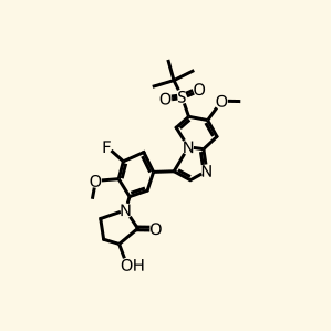 COc1cc2ncc(-c3cc(F)c(OC)c(N4CCC(O)C4=O)c3)n2cc1S(=O)(=O)C(C)(C)C